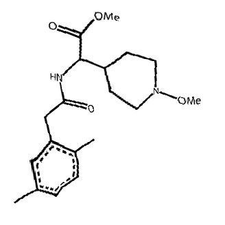 COC(=O)C(NC(=O)Cc1cc(C)ccc1C)C1CCN(OC)CC1